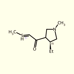 CC[C@@H]1CN(C)CC1C(=O)/C=[SH]/C